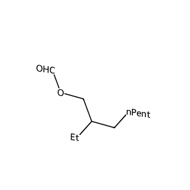 CCCCCCC(CC)COC=O